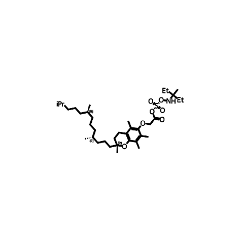 CCC(C)(CC)NOS(=O)(=O)OC(=O)COc1c(C)c(C)c2c(c1C)CC[C@@](C)(CCC[C@H](C)CCC[C@H](C)CCCC(C)C)O2